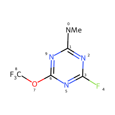 CNc1nc(F)nc(OC(F)(F)F)n1